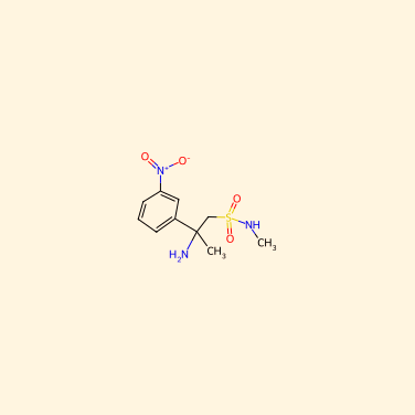 CNS(=O)(=O)CC(C)(N)c1cccc([N+](=O)[O-])c1